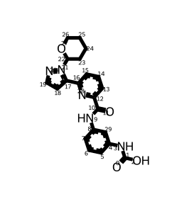 O=C(O)Nc1cccc(NC(=O)c2cccc(-c3ccnn3C3CCCCO3)n2)c1